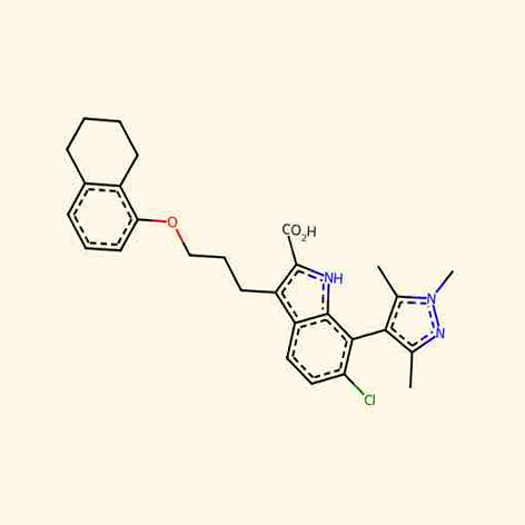 Cc1nn(C)c(C)c1-c1c(Cl)ccc2c(CCCOc3cccc4c3CCCC4)c(C(=O)O)[nH]c12